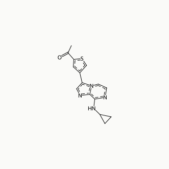 CC(=O)c1cc(-c2cnc3c(NC4CC4)nccn23)cs1